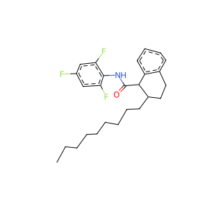 CCCCCCCCCC1CCc2ccccc2C1C(=O)Nc1c(F)cc(F)cc1F